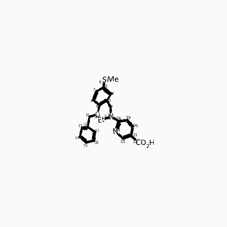 CCN(Cc1cc(SC)ccc1OCc1ccccc1)c1ccc(C(=O)O)cn1